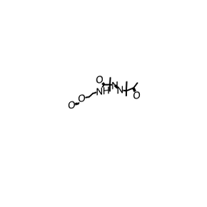 CC(=O)C(C)(C)N=NC(C)(C)C(=O)NCCOC=O